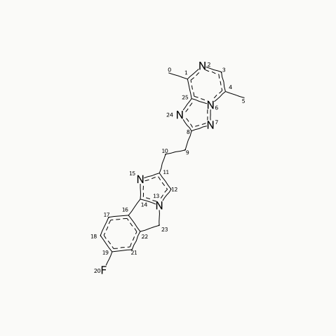 Cc1ncc(C)n2nc(CCc3cn4c(n3)-c3ccc(F)cc3C4)nc12